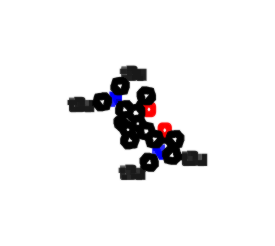 CC(C)(C)c1ccc(N(c2ccc(C(C)(C)C)cc2)c2ccc3c4c(c5oc6ccccc6c5c3c2)-c2cc3c(cc2C42c4ccccc4-c4ccccc42)cc(N(c2ccc(C(C)(C)C)cc2)c2ccc(C(C)(C)C)cc2)c2c4ccccc4oc32)cc1